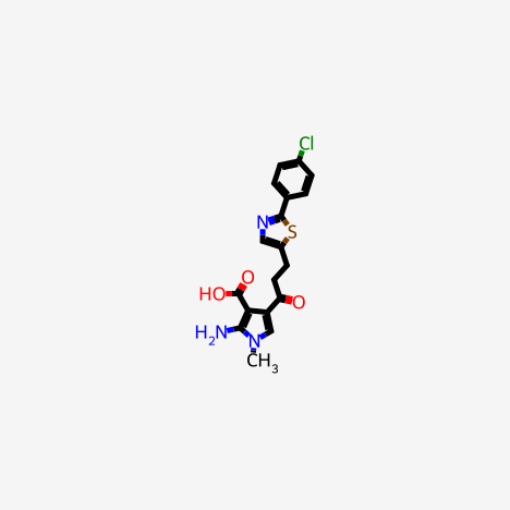 Cn1cc(C(=O)CCc2cnc(-c3ccc(Cl)cc3)s2)c(C(=O)O)c1N